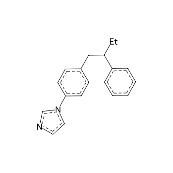 CCC(Cc1ccc(-n2ccnc2)cc1)c1ccccc1